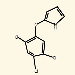 Clc1cc(Cl)c(Sc2ccc[nH]2)cc1Cl